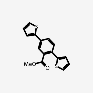 COC(=O)c1cc(-c2cccs2)ccc1-c1cccs1